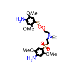 CCN(CCOOSc1cc(OC)c(N)cc1OC)CCS(=O)(=O)c1cc(OC)c(N)cc1OC